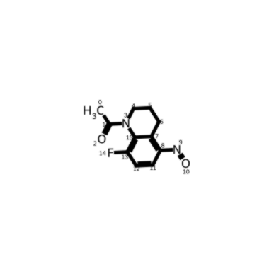 CC(=O)N1CCCc2c(N=O)ccc(F)c21